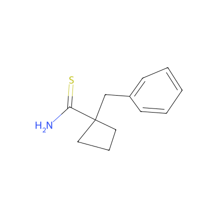 NC(=S)C1(Cc2ccccc2)CCC1